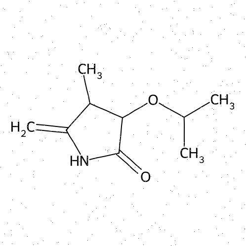 C=C1NC(=O)C(OC(C)C)C1C